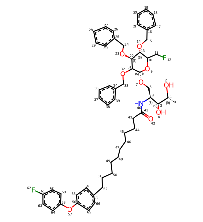 C[C@@H](O)[C@@H](O)[C@H](CO[C@H]1OC(CF)[C@@H](OCc2ccccc2)[C@H](OCc2ccccc2)C1OCc1ccccc1)NC(=O)CCCCCCCCCCc1ccc(Oc2ccc(F)cc2)cc1